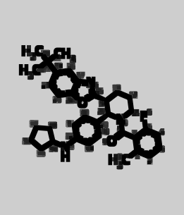 Cc1cccc(F)c1C(=O)N1CCC[C@H](c2nc3cc(C(C)(C)C)ccc3o2)[C@@H]1c1ccc(NC2CCCC2)cc1